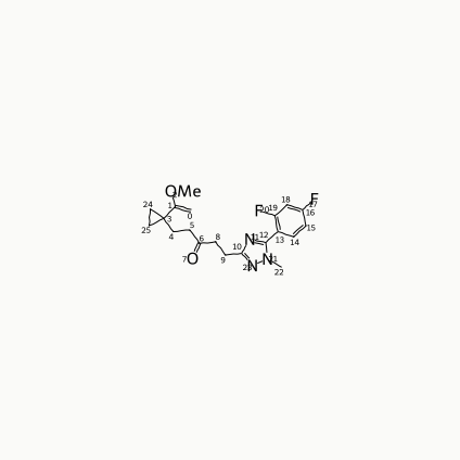 C=C(OC)C1(CCC(=O)CCc2nc(-c3ccc(F)cc3F)n(C)n2)CC1